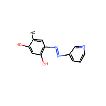 O=Nc1cc(/N=N/c2cccnc2)c(O)cc1O